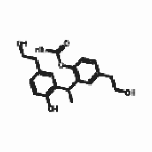 CCCCC(=O)Oc1ccc(CCO)cc1C(C)c1cc(CCO)ccc1O